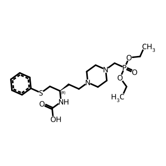 CCOP(=O)(CN1CCN(CC[C@H](CSc2ccccc2)NC(=O)O)CC1)OCC